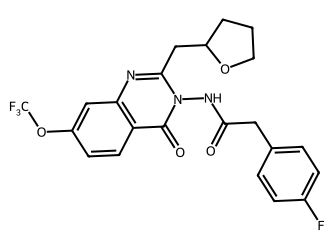 O=C(Cc1ccc(F)cc1)Nn1c(CC2CCCO2)nc2cc(OC(F)(F)F)ccc2c1=O